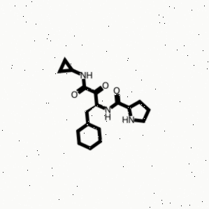 O=C(NC1CC1)C(=O)[C@H](CC1CCCCC1)NC(=O)C1CCCN1